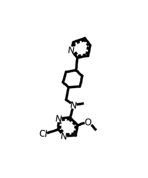 COc1cnc(Cl)nc1N(C)CC1CCC(c2ccccn2)CC1